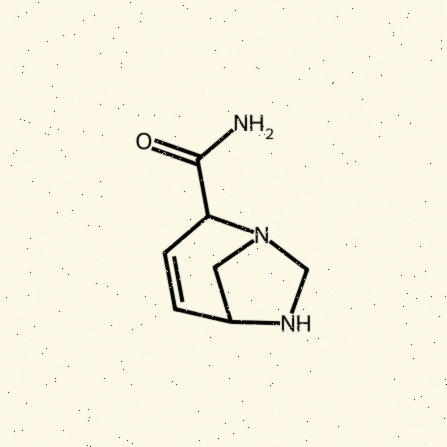 NC(=O)C1C=CC2CN1CN2